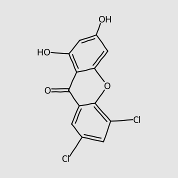 O=c1c2cc(Cl)cc(Cl)c2oc2cc(O)cc(O)c12